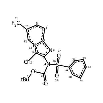 CC(C)(C)OC(=O)N(c1nc2ccc(C(F)(F)F)cn2c1Cl)S(=O)(=O)c1ccccc1